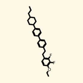 CCCC1CCC(c2ccc(-c3ccc(CCc4ccc(OCC)c(F)c4F)cc3)cc2)CC1